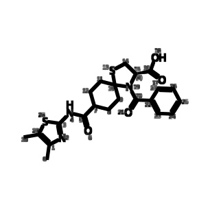 Cc1nc(NC(=O)C2CCC3(CC2)SC[C@@H](C(=O)O)N3C(=O)c2ccccc2)sc1C